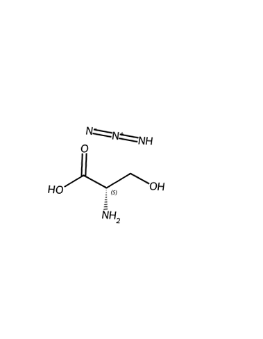 N[C@@H](CO)C(=O)O.[N-]=[N+]=N